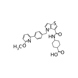 COc1cccc(-c2ccc(Cn3ccc4scc(C(=O)NC5CCC(C(=O)O)CC5)c43)cc2)n1